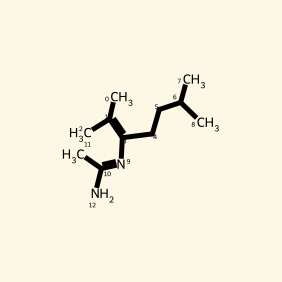 CC(C)=C(CCC(C)C)/N=C(\C)N